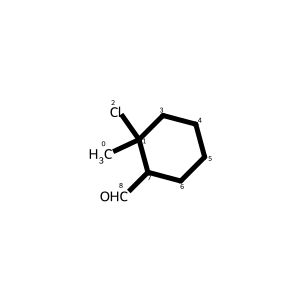 CC1(Cl)CCCCC1C=O